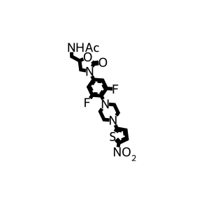 CC(=O)NCC1CN(c2cc(F)c(N3CCN(c4ccc([N+](=O)[O-])s4)CC3)c(F)c2)C(=O)O1